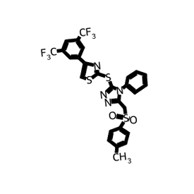 Cc1ccc(S(=O)(=O)Cc2nnc(Sc3nc(-c4cc(C(F)(F)F)cc(C(F)(F)F)c4)cs3)n2-c2ccccc2)cc1